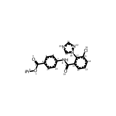 CC(C)OC(=O)c1ccc(NC(=O)c2cccc(Cl)c2-n2cncn2)cc1